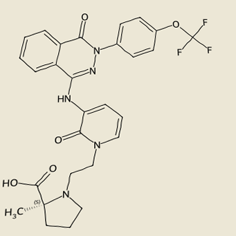 C[C@@]1(C(=O)O)CCCN1CCn1cccc(Nc2nn(-c3ccc(OC(F)(F)F)cc3)c(=O)c3ccccc23)c1=O